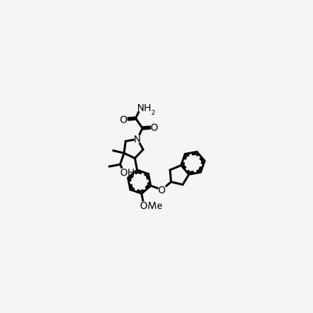 COc1ccc(C2CN(C(=O)C(N)=O)CC2(C)C(C)O)cc1OC1Cc2ccccc2C1